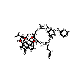 CC(C)C(=O)Nc1nc2c(ccn2[C@@H]2O[C@@H]3CO[P@](=O)(S)O[C@H]4C[C@H](Oc5ccncn5)C[C@@H]4CO[P@@](=S)(OCCC#N)O[C@@H]2[C@@H]3O[Si](O[Si](O)(C(C)C)C(C)C)(C(C)C)C(C)C)c(=O)[nH]1